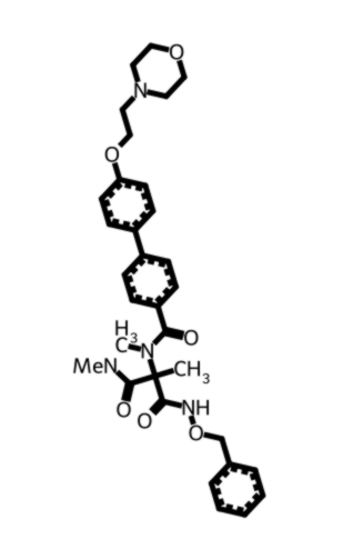 CNC(=O)C(C)(C(=O)NOCc1ccccc1)N(C)C(=O)c1ccc(-c2ccc(OCCN3CCOCC3)cc2)cc1